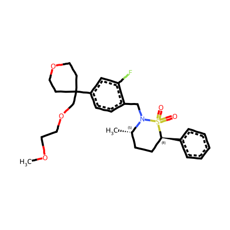 COCCOCC1(c2ccc(CN3[C@@H](C)CC[C@H](c4ccccc4)S3(=O)=O)c(F)c2)CCOCC1